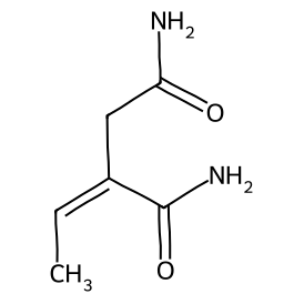 CC=C(CC(N)=O)C(N)=O